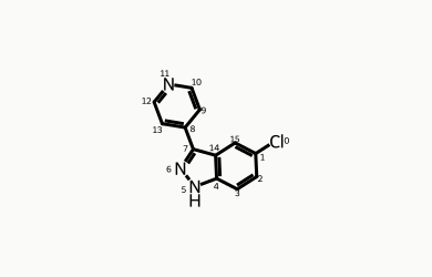 Clc1ccc2[nH]nc(-c3ccncc3)c2c1